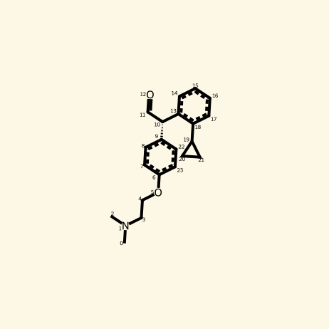 CN(C)CCOc1ccc([C@H](C=O)c2ccccc2C2CC2)cc1